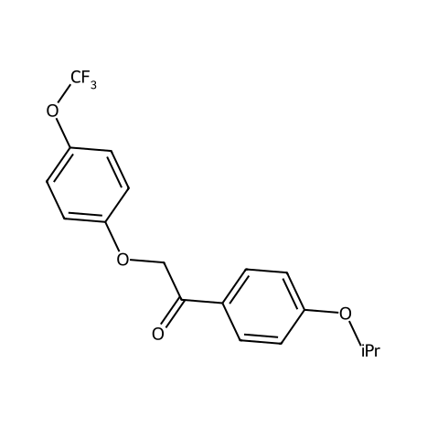 CC(C)Oc1ccc(C(=O)COc2ccc(OC(F)(F)F)cc2)cc1